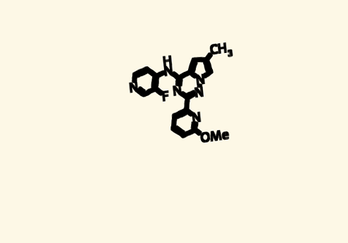 COc1cccc(-c2nc(Nc3ccncc3F)c3cc(C)cn3n2)n1